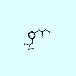 CCCCCCC(Cl)Cc1cccc(NC(=O)CC(C)=O)c1